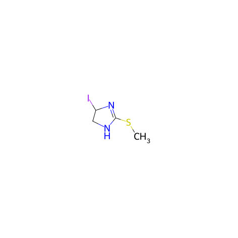 CSC1=NC(I)CN1